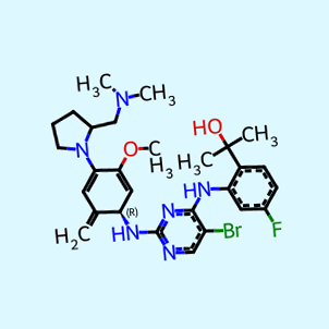 C=C1C=C(N2CCCC2CN(C)C)C(OC)=C[C@H]1Nc1ncc(Br)c(Nc2cc(F)ccc2C(C)(C)O)n1